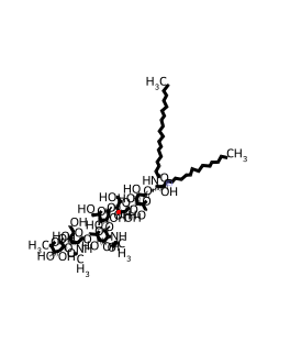 CCCCCCCCCCCCC/C=C/[C@@H](O)[C@H](CO[C@@H]1OC(CO)[C@@H](O[C@@H]2OC(CO)[C@H](O[C@@H]3OC(CO)[C@H](O)[C@H](O[C@@H]4OC(CO[C@@H]5OC(CO)[C@@H](O)[C@H](O[C@H]6C(O)[C@H](O)C(C)O[C@H]6O)C5NC(C)=O)[C@H](O)[C@H](O)C4NC(C)=O)C3O)[C@H](O)C2O)[C@H](O)C1O)NC(=O)CCCCCCCCCCCCCCCCCCC